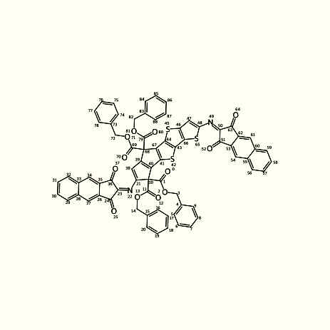 O=C(OCc1ccccc1)C1(C(=O)OCc2ccccc2)C(N=c2c(=O)c3cc4ccccc4cc3c2=O)=CC2=C1c1sc3c(sc4cc(N=c5c(=O)c6cc7ccccc7cc6c5=O)sc43)c1C2(C(=O)OCc1ccccc1)C(=O)OCc1ccccc1